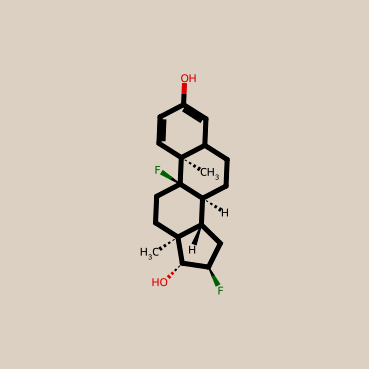 C[C@]12CC[C@@]3(F)[C@@H](CCC4C=C(O)C=C[C@@]43C)[C@@H]1C[C@@H](F)[C@@H]2O